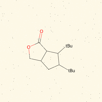 CC(C)(C)C1CC2COC(=O)C2C1C(C)(C)C